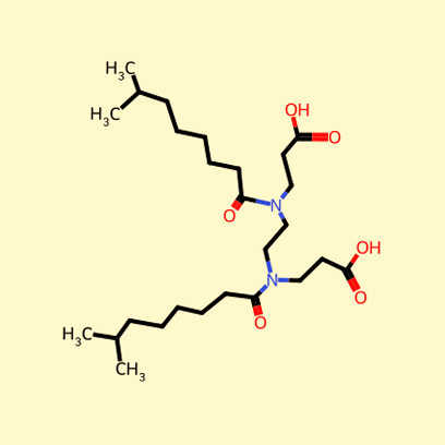 CC(C)CCCCCC(=O)N(CCC(=O)O)CCN(CCC(=O)O)C(=O)CCCCCC(C)C